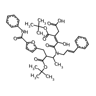 CC(C(Cc1ccc(C(=O)Nc2ccccc2)o1)C(=O)OC(C)(C)C)N(C/C=C/c1ccccc1)C(=O)C(O)=C(CC(=O)O)C(=O)OC(C)(C)C